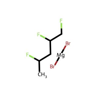 CC(F)CC(F)CF.[Br][Mg][Br]